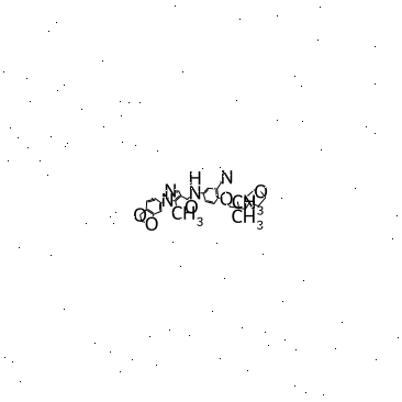 Cc1c(C(=O)Nc2ccc(OCC(C)(C)CN3CCOCC3)c(C#N)c2)cnn1-c1ccc2c(c1)OCO2